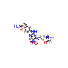 NS(=O)(=O)c1ccc(Nc2ncc([N+](=O)[O-])c(NCCCN3CCCC3=O)n2)cc1